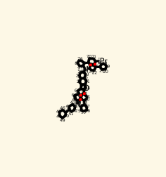 CC(C)c1ccc(-c2ccccc2N(c2ccc(-c3ccccc3)cc2)c2ccc3cc4c(cc3c2)oc2cc3cc(N(c5ccc(-c6ccccc6)cc5)c5ccccc5C5=CC=CCC5)c#cc3cc24)cc1